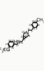 Cc1ccc(CCN2CC3C(CNCc4cccc(OC(F)(F)F)c4)C3C2)cc1